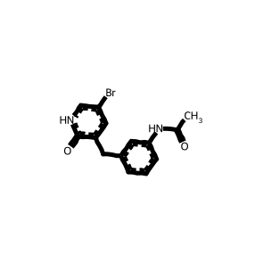 CC(=O)Nc1cccc(Cc2cc(Br)c[nH]c2=O)c1